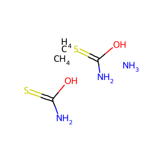 C.C.N.NC(O)=S.NC(O)=S